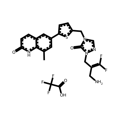 Cc1cc(-c2ccc(Cn3cnn(CC(CN)=C(F)F)c3=O)s2)cc2ccc(=O)[nH]c12.O=C(O)C(F)(F)F